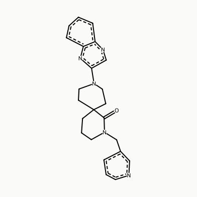 O=C1N(Cc2cccnc2)CCCC12CCN(c1cnc3ccccc3n1)CC2